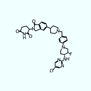 O=C1CCC(N2Cc3cc(C4CCN(Cc5ccc(N6CC[C@H](Nc7ncc(Cl)cn7)[C@H](F)C6)cc5)CC4)ccc3C2=O)C(=O)N1